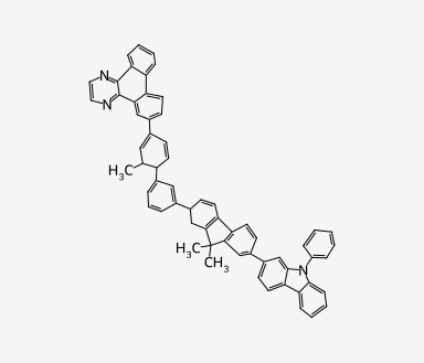 CC1C=C(c2ccc3c4ccccc4c4nccnc4c3c2)C=CC1c1cccc(C2C=CC3=C(C2)C(C)(C)c2cc(-c4ccc5c6ccccc6n(-c6ccccc6)c5c4)ccc23)c1